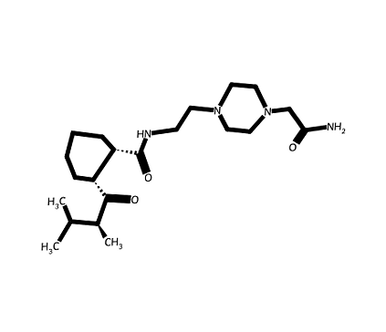 CC(C)[C@H](C)C(=O)[C@@H]1CCCC[C@@H]1C(=O)NCCN1CCN(CC(N)=O)CC1